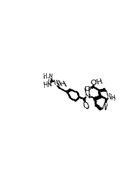 N=C(N)NCC1CCC(C(=O)Nc2ccnc3[nH]cc(C(=O)O)c23)CC1